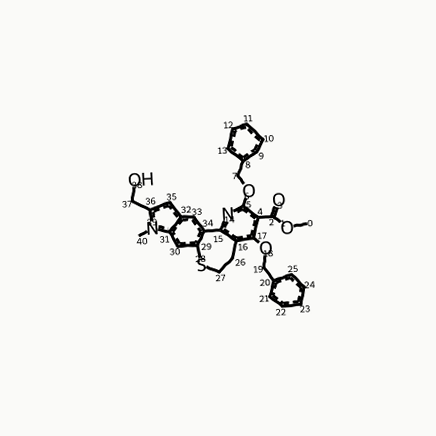 COC(=O)c1c(OCc2ccccc2)nc2c(c1OCc1ccccc1)CCSc1cc3c(cc1-2)cc(CO)n3C